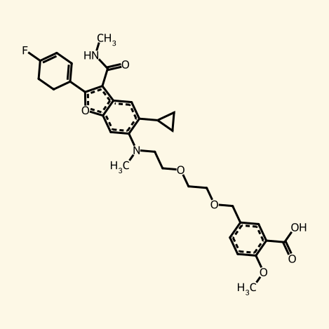 CNC(=O)c1c(C2=CC=C(F)CC2)oc2cc(N(C)CCOCCOCc3ccc(OC)c(C(=O)O)c3)c(C3CC3)cc12